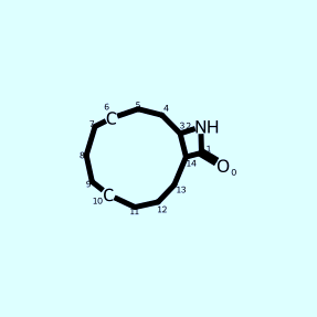 O=C1NC2CCCCCCCCCCC12